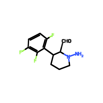 NN1CCCC(c2c(F)ccc(F)c2F)C1C=O